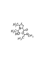 COC(C)OC(=O)C1CSC(C)N1C(C)O